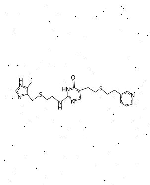 Cc1[nH]cnc1CSCCNc1ncc(CCSCCc2cccnc2)c(=O)[nH]1